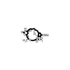 COc1cc2cc(c1Cl)N(C)C(=O)CCO[C@H](C)C[C@@H]1C[C@](O)(C/C=C/C=C(\C)C2)NC(=O)O1